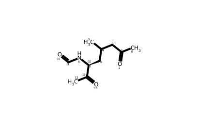 CC(=O)CC(C)C[C@H](NC=O)C(C)=O